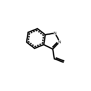 C=CC1=N[N]c2ccccc21